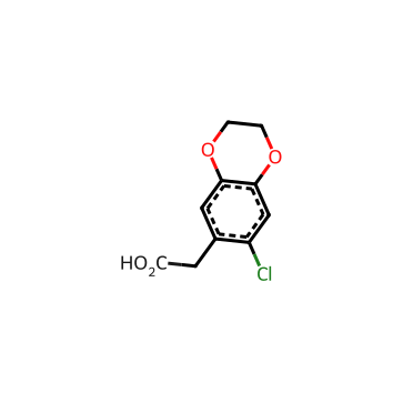 O=C(O)Cc1cc2c(cc1Cl)OCCO2